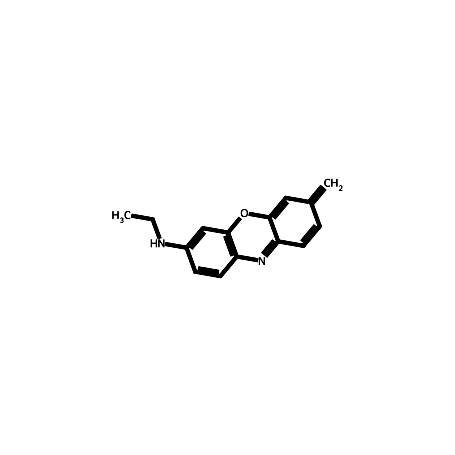 C=c1ccc2c(c1)Oc1cc(NCC)ccc1N=2